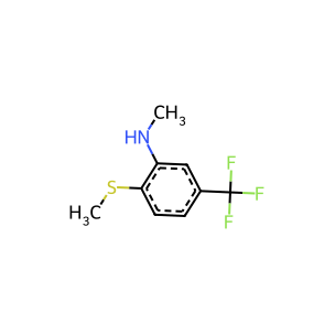 CNc1cc(C(F)(F)F)ccc1SC